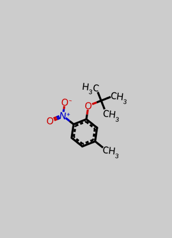 Cc1ccc([N+](=O)[O-])c(OC(C)(C)C)c1